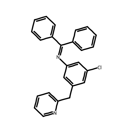 Clc1cc(Cc2ccccn2)cc(N=C(c2ccccc2)c2ccccc2)c1